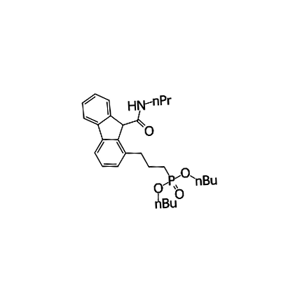 CCCCOP(=O)(CCCc1cccc2c1C(C(=O)NCCC)c1ccccc1-2)OCCCC